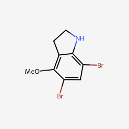 COc1c(Br)cc(Br)c2c1CCN2